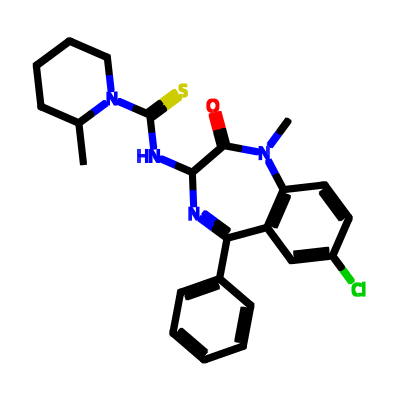 CC1CCCCN1C(=S)NC1N=C(c2ccccc2)c2cc(Cl)ccc2N(C)C1=O